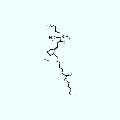 CCCCOC(=O)CCCCCC[C@@H]1C(=CCC(=O)C(C)(C)CCCC)CC[C@H]1O